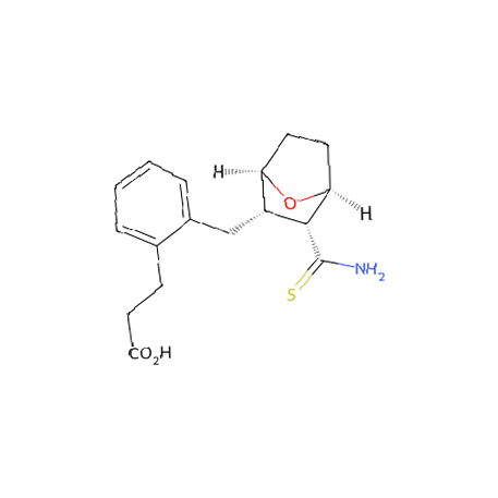 NC(=S)[C@@H]1[C@H](Cc2ccccc2CCC(=O)O)[C@H]2CC[C@@H]1O2